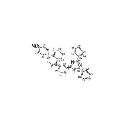 N#Cc1ccc(-c2ccc(-c3cccc(-c4cc(-c5ccccc5)nc(-c5ccccc5)n4)c3)c3ccccc23)cc1